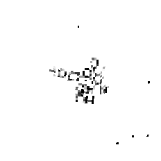 Cc1c(C)c2c(c(Br)c1Br)C(c1ccc(O)cc1)(c1ccc(O)cc1)OC2=O